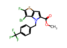 COC(=O)c1cc2sc(F)c(Br)c2n1Cc1ccc(C(F)(F)F)cc1